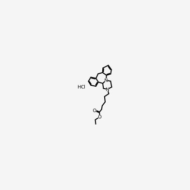 CCOC(=O)CCCCCN1CCN2c3ccccc3Cc3ccccc3C2C1.Cl